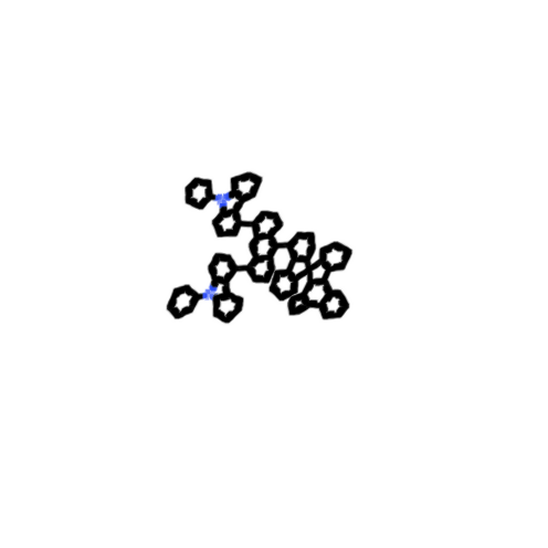 c1ccc(-n2c3ccccc3c3c(-c4cccc5c(-c6cccc7c6-c6ccccc6C76c7ccccc7-c7c6c6ccccc6c6ccccc76)c6cccc(-c7cccc8c7c7ccccc7n8-c7ccccc7)c6cc45)cccc32)cc1